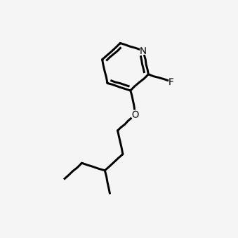 CCC(C)CCOc1cccnc1F